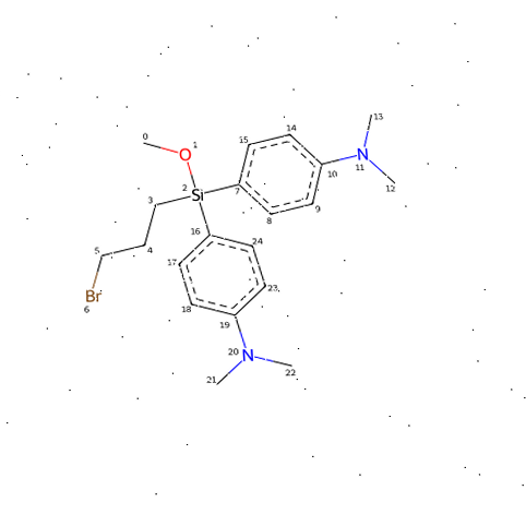 CO[Si](CCCBr)(c1ccc(N(C)C)cc1)c1ccc(N(C)C)cc1